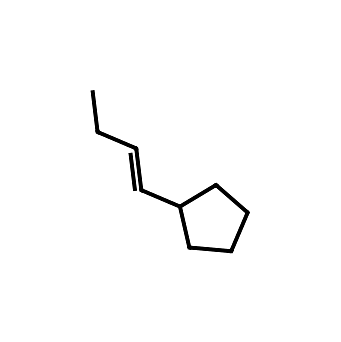 CC/C=C/C1CCCC1